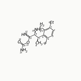 CCc1ccc(F)c([C@@H](C)[C@H](N)C(=N)OC(N)=O)c1C